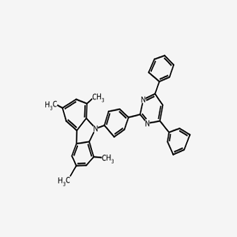 Cc1cc(C)c2c(c1)c1cc(C)cc(C)c1n2-c1ccc(-c2nc(-c3ccccc3)cc(-c3ccccc3)n2)cc1